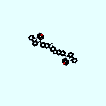 c1ccc(N(c2ccc3cc4c(cc3c2)Cc2cc3c(cc2-4)oc2cc4cc(N(c5ccccc5)c5cccc6c7ccccc7n(-c7ccccc7)c56)ccc4cc23)c2cccc3c4ccccc4n(-c4ccccc4)c23)cc1